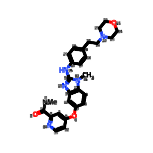 CNC(=O)c1cc(Oc2ccc3c(c2)nc(Nc2ccc(CCN4CCOCC4)cc2)n3C)ccn1